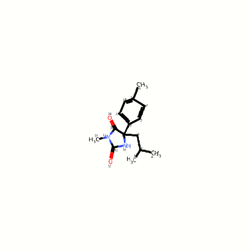 Cc1ccc(C2(CC(C)C)NC(=O)N(C)C2=O)cc1